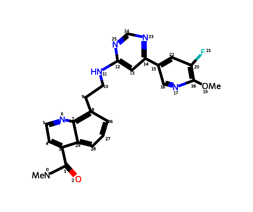 CNC(=O)c1ccnc2c(CCNc3cc(-c4cnc(OC)c(F)c4)ncn3)cccc12